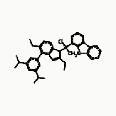 CCC1=Cc2c(ccc(CC)c2-c2cc(C(C)C)cc(C(C)C)c2)[CH]1[Zr]([Cl])([Cl])[c]1cccc2c1[SiH2]c1ccccc1-2